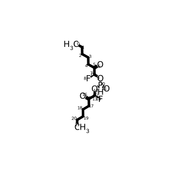 CCCCCC(=O)[C@H](F)O[PH](=O)O[C@@H](F)C(=O)CCCCC